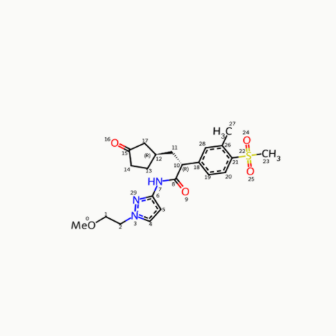 COCCn1ccc(NC(=O)[C@H](C[C@H]2CCC(=O)C2)c2ccc(S(C)(=O)=O)c(C)c2)n1